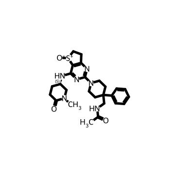 CC(=O)NCC1(c2ccccc2)CCN(c2nc3c(c(N[C@H]4CCC(=O)N(C)C4)n2)[S+]([O-])CC3)CC1